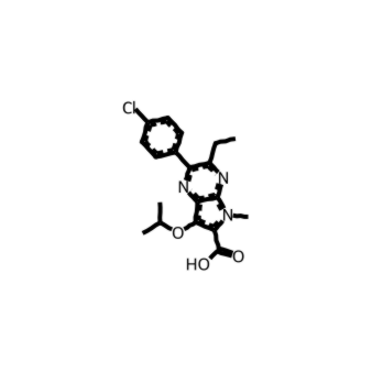 CCc1nc2c(nc1-c1ccc(Cl)cc1)c(OC(C)C)c(C(=O)O)n2C